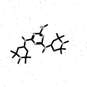 CNc1nc(N(C)C2CC(C)(C)N(C)C(C)(C)C2)nc(N(C)C2CC(C)(C)N(C)C(C)(C)C2)n1